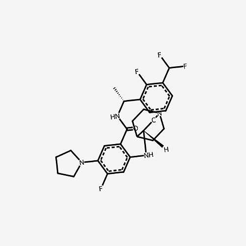 C[C@@H](NC(=O)c1cc(N2CCCC2)c(F)cc1N[C@H]1CN2CCC1CC2)c1cccc(C(F)F)c1F